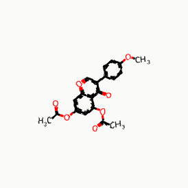 COc1ccc(-c2coc3cc(OC(C)=O)cc(OC(C)=O)c3c2=O)cc1